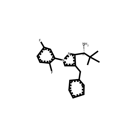 CC(C)(C)[C@@H](N)c1nn(-c2cc(F)ccc2F)cc1Cc1ccccc1